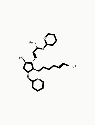 CCCCC[C@@H](/C=C/[C@@H]1[C@@H](CCCC/C=C/C(=O)O)[C@@H](OC2CCCCO2)C[C@H]1O)OC1CCCCO1